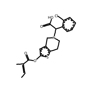 CC=C(C)C(=O)Oc1cc2c(s1)CCN(C(C(=O)O)c1ccccc1Cl)C2